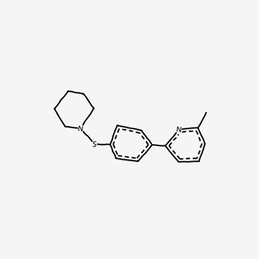 Cc1cccc(-c2ccc(SN3CCCCC3)cc2)n1